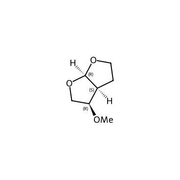 CO[C@H]1CO[C@H]2OCC[C@H]21